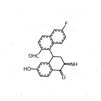 N=C1CC(c2c(C=O)ccc3cc(F)ccc23)c2cc(O)ccc2C1=O